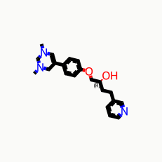 CN1C=C(c2ccc(OC[C@H](O)CCc3cccnc3)cc2)CN(C)C1